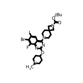 CN1CCC(Oc2nc(N3CCC4(CC3)CN(C(=O)OC(C)(C)C)C4)c3cc(I)c(Br)c(F)c3n2)CC1